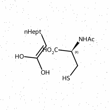 CC(=O)N[C@@H](CS)C(=O)O.CCCCCCCC=C(O)O